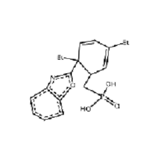 CCC1=CC(CP(=O)(O)O)C(CC)(c2nc3ccccc3o2)C=C1